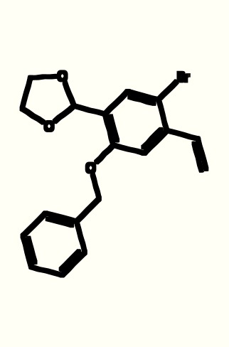 C=Cc1cc(OCc2ccccc2)c(C2OCCO2)cc1Br